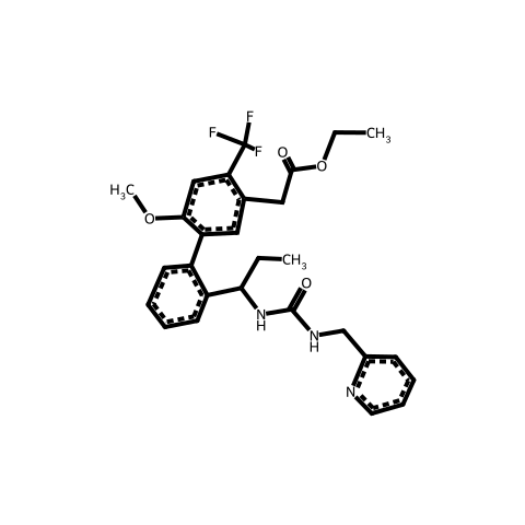 CCOC(=O)Cc1cc(-c2ccccc2C(CC)NC(=O)NCc2ccccn2)c(OC)cc1C(F)(F)F